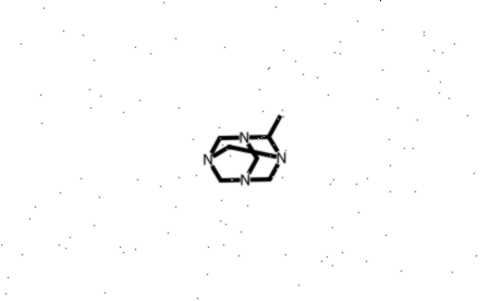 CC1N2CN3CN(C2)CN1C3